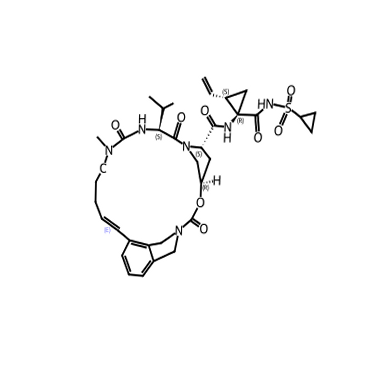 C=C[C@@H]1C[C@]1(NC(=O)[C@@H]1C[C@@H]2CN1C(=O)[C@H](C(C)C)NC(=O)N(C)CCC/C=C/c1cccc3c1CN(C3)C(=O)O2)C(=O)NS(=O)(=O)C1CC1